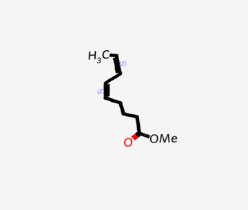 C/C=C\C=C/CCCC(=O)OC